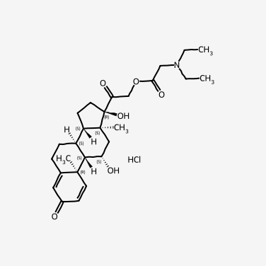 CCN(CC)CC(=O)OCC(=O)[C@@]1(O)CC[C@H]2[C@@H]3CCC4=CC(=O)C=C[C@]4(C)[C@H]3[C@@H](O)C[C@@]21C.Cl